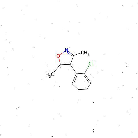 Cc1noc(C)c1-c1ccccc1Cl